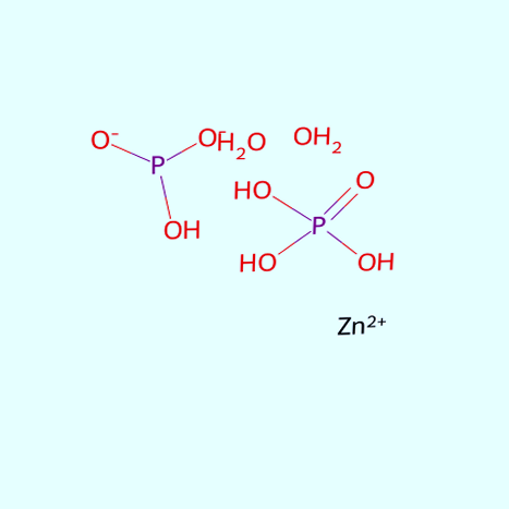 O.O.O=P(O)(O)O.[O-]P([O-])O.[Zn+2]